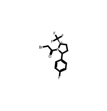 O=C(CBr)N1C(c2ccc(F)cc2)CC[C@@H]1C(F)(F)F